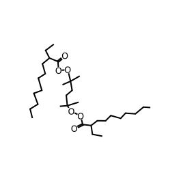 CCCCCCCCC(CC)C(=O)OOC(C)(C)CCC(C)(C)OOC(=O)C(CC)CCCCCCCC